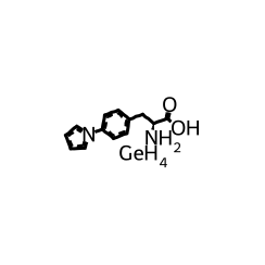 N[C@@H](Cc1ccc(-n2cccc2)cc1)C(=O)O.[GeH4]